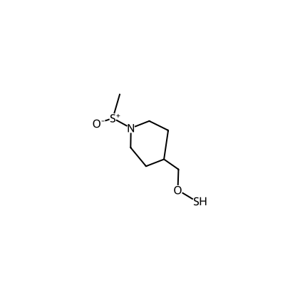 C[S+]([O-])N1CCC(COS)CC1